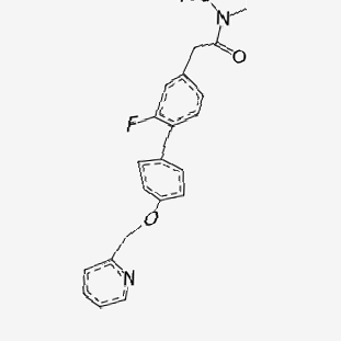 CN(O)C(=O)Cc1ccc(-c2ccc(OCc3ccccn3)cc2)c(F)c1